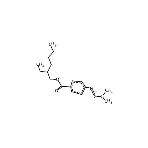 CCCCC(CC)COC(=O)c1ccc(/N=N/N(C)C)cc1